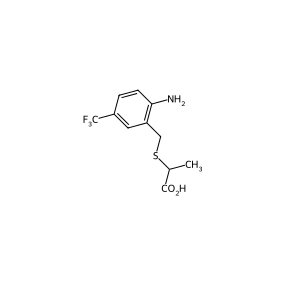 CC(SCc1cc(C(F)(F)F)ccc1N)C(=O)O